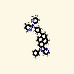 c1ccc(-n2c3cccnc3c3c4ccc5ccc(-c6ccc(N(c7ccccn7)c7ccccn7)cc6)c6ccc(cc32)c4c56)cc1